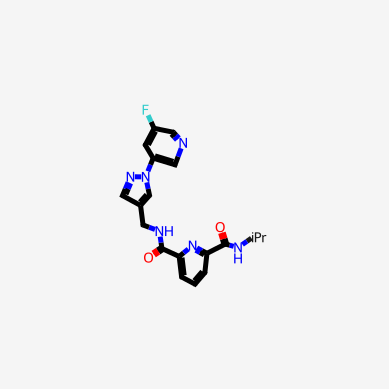 CC(C)NC(=O)c1cccc(C(=O)NCc2cnn(-c3cncc(F)c3)c2)n1